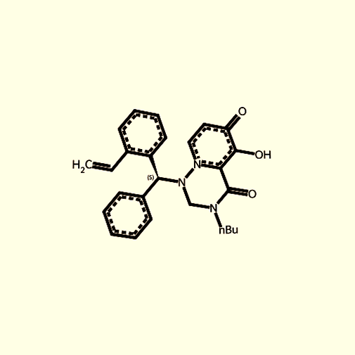 C=Cc1ccccc1[C@H](c1ccccc1)N1CN(CCCC)C(=O)c2c(O)c(=O)ccn21